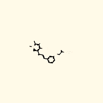 COC(=O)COc1cccc(C=CC(=O)c2c(O)c(Br)c(C)n(C)c2=O)c1